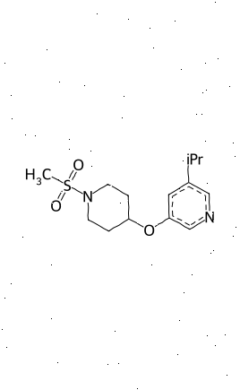 CC(C)c1cncc(OC2CCN(S(C)(=O)=O)CC2)c1